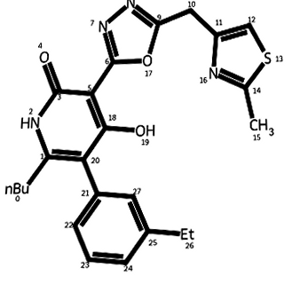 CCCCc1[nH]c(=O)c(-c2nnc(Cc3csc(C)n3)o2)c(O)c1-c1cccc(CC)c1